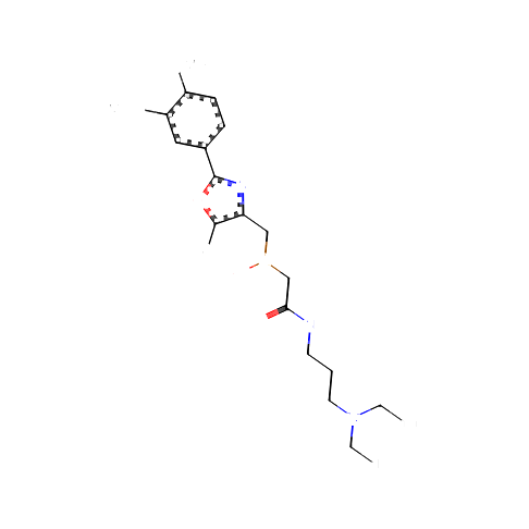 COc1ccc(-c2nc(C[S+]([O-])CC(=O)NCCCN(CC(C)C)CC(C)C)c(C)o2)cc1OC